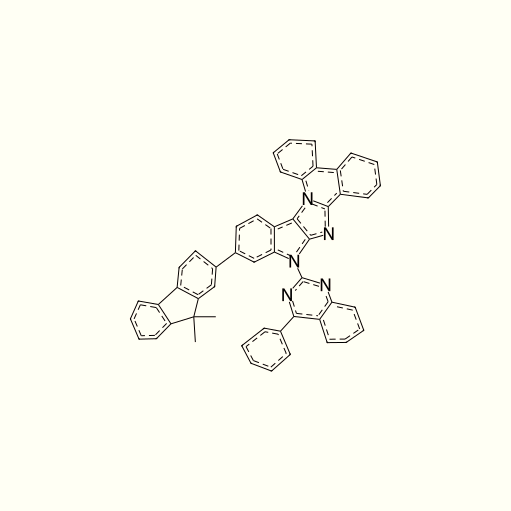 CC1(C)c2ccccc2-c2ccc(-c3ccc4c(c3)n(-c3nc(-c5ccccc5)c5ccccc5n3)c3nc5c6ccccc6c6ccccc6n5c43)cc21